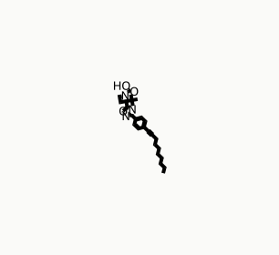 CCCCCCCCC#Cc1ccc(-c2noc(C3(C(C)(C)C)CCN3C(=O)O)n2)cc1